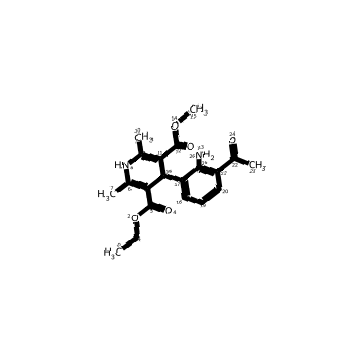 CCOC(=O)C1=C(C)NC(C)=C(C(=O)OC)C1c1cccc(C(C)=O)c1N